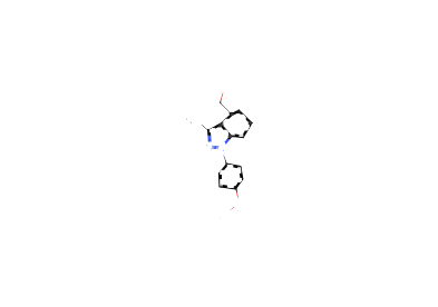 N#Cc1nn(-c2ccc(OC(F)(F)F)cc2)c2cccc(CO)c12